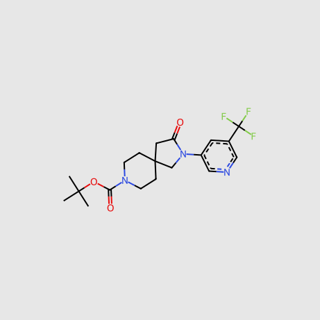 CC(C)(C)OC(=O)N1CCC2(CC1)CC(=O)N(c1cncc(C(F)(F)F)c1)C2